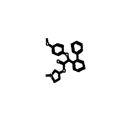 COc1ccc(OC(C(=O)OC2CCN(C)C2)c2ccccc2-c2ccccc2)cc1